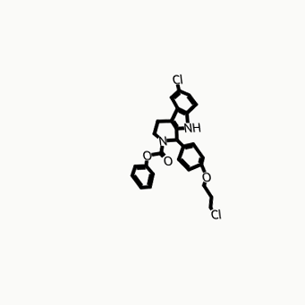 O=C(Oc1ccccc1)N1CCc2c([nH]c3ccc(Cl)cc23)C1c1ccc(OCCCCl)cc1